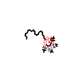 CC/C=C\C/C=C\C/C=C\C/C=C\C/C=C\CCCC(=O)OC[C@@H](O[Si](C)(C)C(C)(C)C)[C@@H](O[Si](C)(C)C(C)(C)C)[C@H](O[Si](C)(C)C(C)(C)C)[C@@H](COC(C)=O)O[Si](C)(C)C(C)(C)C